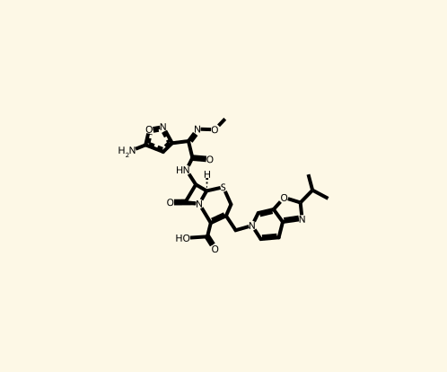 CO/N=C(\C(=O)NC1C(=O)N2C(C(=O)O)=C(CN3C=CC4=NC(C(C)C)OC4=C3)CS[C@H]12)c1cc(N)on1